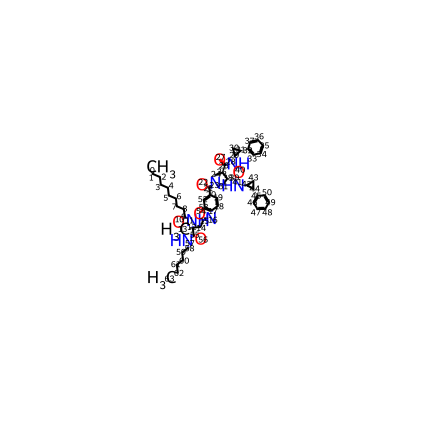 CCCCCCCCCC(=O)N[C@](C)(Cc1nc2ccc(C(=O)N3C[C@@H](C(=O)N[C@H]4C[C@@H]4c4ccccc4)[C@H](C(=O)N[C@H]4C[C@@H]4c4ccccc4)C3)cc2o1)C(=O)NCCCCCC